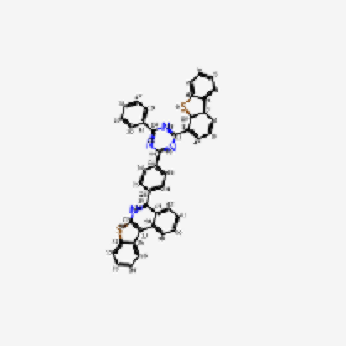 C1=CC2c3ccccc3SC2C(c2nc(-c3ccccc3)nc(-c3ccc(-c4nc5sc6ccccc6c5c5ccccc45)cc3)n2)=C1